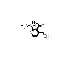 CCc1ccnc(NN)c1C(=O)O